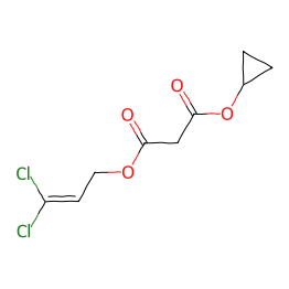 O=C(CC(=O)OC1CC1)OCC=C(Cl)Cl